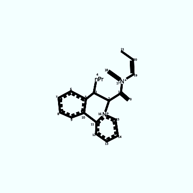 C=C(C1C(CCC)c2ccccc2-c2cccc[n+]21)[N+](=C)/C=C\C